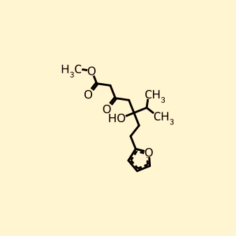 COC(=O)CC(=O)CC(O)(CCc1ccco1)C(C)C